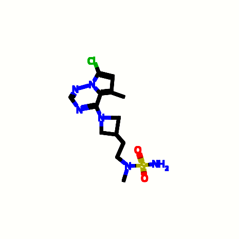 Cc1cc(Cl)n2ncnc(N3CC(CCN(C)S(N)(=O)=O)C3)c12